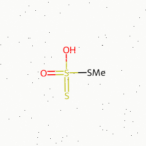 CSS(=O)(O)=S